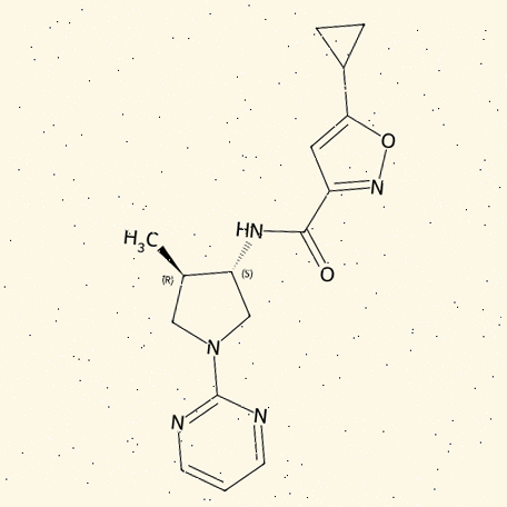 C[C@@H]1CN(c2ncccn2)C[C@H]1NC(=O)c1cc(C2CC2)on1